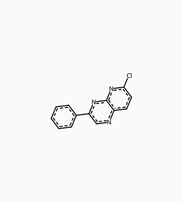 Clc1ccc2ncc(-c3ccccc3)nc2n1